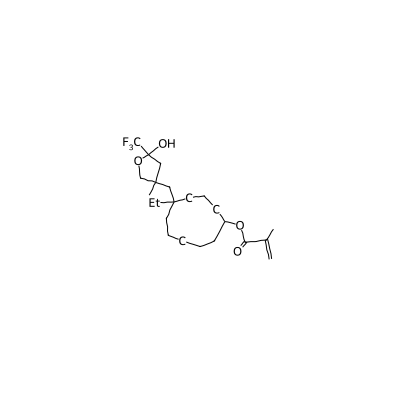 C=C(C)C(=O)OC1CCCCCC(CC)(CC2(C)COC(O)(C(F)(F)F)C2)CCC1